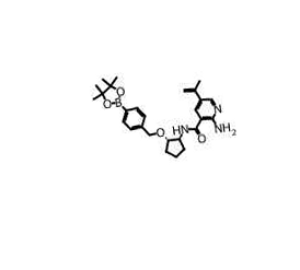 C=C(C)c1cnc(N)c(C(=O)N[C@H]2CCC[C@@H]2OCc2ccc(B3OC(C)(C)C(C)(C)O3)cc2)c1